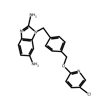 Nc1ccc2nc(N)n(Cc3ccc(COc4ccc(Cl)cn4)cc3)c2c1